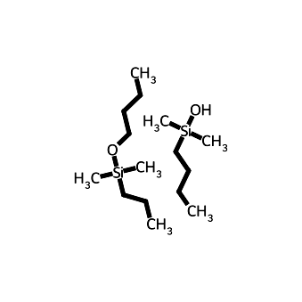 CCCCO[Si](C)(C)CCC.CCCC[Si](C)(C)O